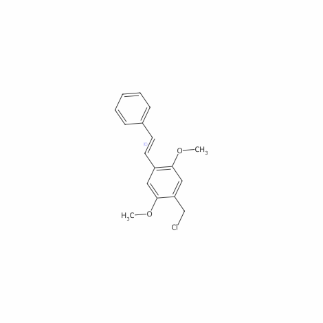 COc1cc(CCl)c(OC)cc1/C=C/c1ccccc1